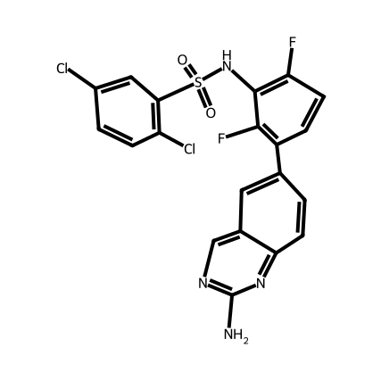 Nc1ncc2cc(-c3ccc(F)c(NS(=O)(=O)c4cc(Cl)ccc4Cl)c3F)ccc2n1